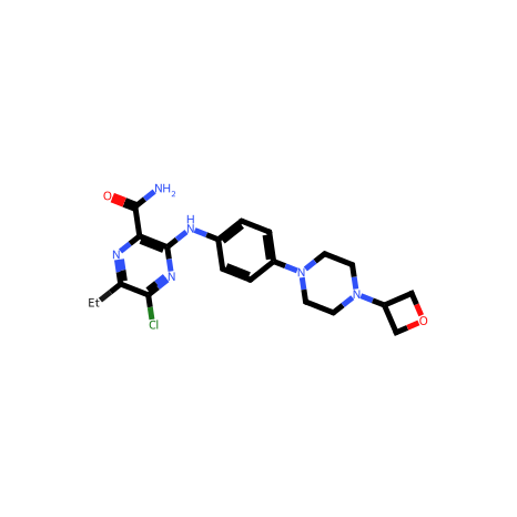 CCc1nc(C(N)=O)c(Nc2ccc(N3CCN(C4COC4)CC3)cc2)nc1Cl